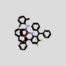 Cc1cccc(C)c1NC1c2cccc3cccc(c23)C1Nc1c(C(c2ccccc2)c2ccccc2)cc(F)c(F)c1C(c1ccccc1)c1ccccc1